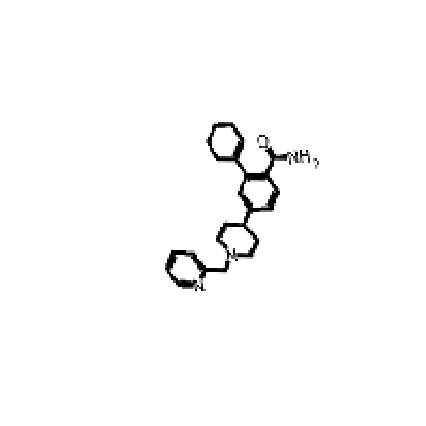 NC(=O)c1ccc(C2CCN(Cc3ccccn3)CC2)cc1C1=CCCCC1